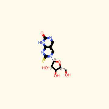 O=c1ncc2cn([C@@H]3O[C@H](CO)C(O)[C@@H]3O)c(=S)nc2[nH]1